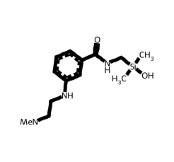 CNCCNc1cccc(C(=O)NC[Si](C)(C)O)c1